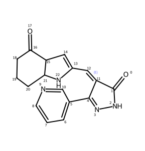 O=C1NN=C(c2cccnc2)/C1=C\C1=CC2C(=O)CCCC2N1